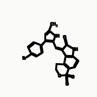 Cc1cc(-c2ccc(Br)cc2)c(/C=C2\C(=O)Nc3ccc4c(c32)CCOS4(=O)=O)[nH]1